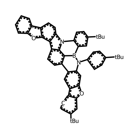 CC(C)(C)c1ccc(N2B3c4cc(C(C)(C)C)ccc4-n4c5ccc6c7ccccc7oc6c5c5ccc(c3c54)-c3cc4c(cc32)oc2cc(C(C)(C)C)ccc24)cc1